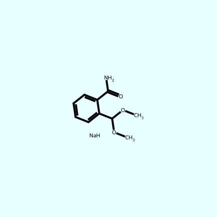 COC(OC)c1ccccc1C(N)=O.[NaH]